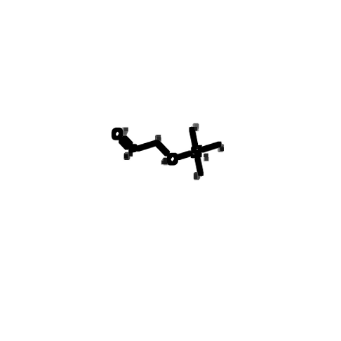 C[Si](C)(C)OCP=O